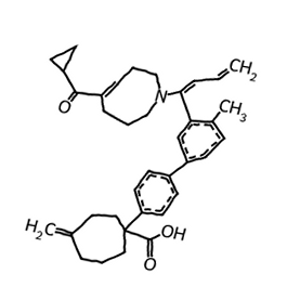 C=C/C=C(\c1cc(-c2ccc(C3(C(=O)O)CCCC(=C)CC3)cc2)ccc1C)N1CC/C=C(\C(=O)C2CC2)CCC1